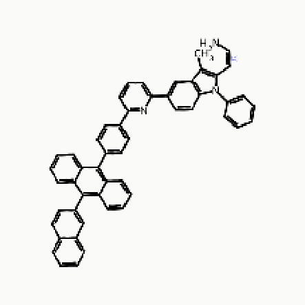 Cc1c(/C=C\N)n(-c2ccccc2)c2ccc(-c3cccc(-c4ccc(-c5c6ccccc6c(-c6ccc7ccccc7c6)c6ccccc56)cc4)n3)cc12